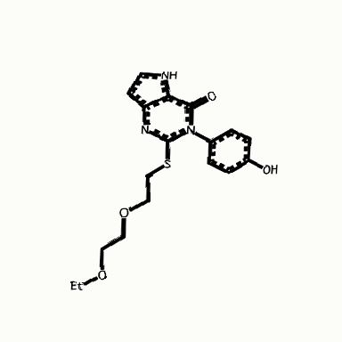 CCOCCOCCSc1nc2cc[nH]c2c(=O)n1-c1ccc(O)cc1